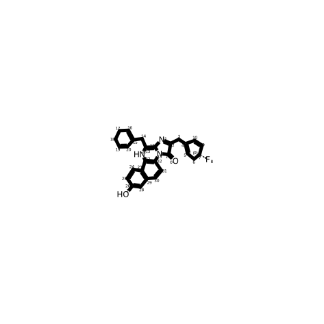 O=c1c(CC2=CC[C@@H](F)C=C2)nc2c(CC3=CCCC=C3)[nH]c3c4ccc(O)cc4ccc3n1-2